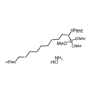 CCCCCCCCCCCCCCCCCCCC(CCCCC)[Si](OC)(OC)OC.Cl.N